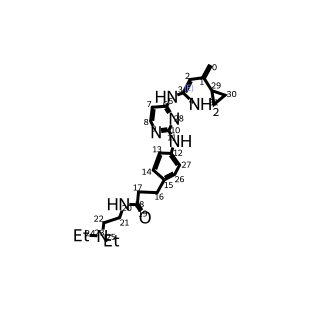 C=C(/C=C(\N)Nc1ccnc(Nc2ccc(CCC(=O)NCCN(CC)CC)cc2)n1)C1CC1